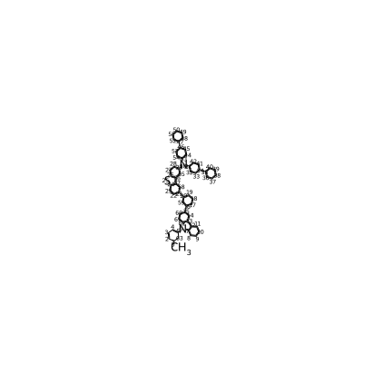 CC1C=CC=C(n2c3ccccc3c3cc(-c4cccc(-c5ccc6sc7ccc(N(c8ccc(-c9ccccc9)cc8)c8ccc(-c9ccccc9)cc8)cc7c6c5)c4)ccc32)C1